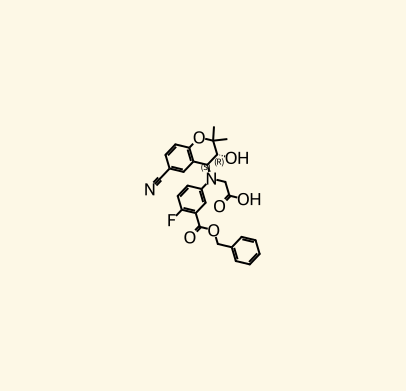 CC1(C)Oc2ccc(C#N)cc2[C@H](N(CC(=O)O)c2ccc(F)c(C(=O)OCc3ccccc3)c2)[C@H]1O